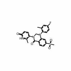 Cc1cc(F)ccc1N1CN(c2ccc(=O)[nH]c2C)C(=O)c2ccc(S(C)(=O)=O)cc21